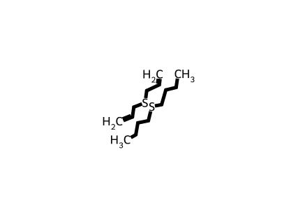 C=CCSCC=C.CCCCSCCCC